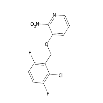 O=[N+]([O-])c1ncccc1OCc1c(F)ccc(F)c1Cl